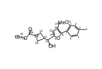 COc1cc(C)ccc1-c1oc(C(O)C2CN(C(=O)OC(C)(C)C)C2)cc1C